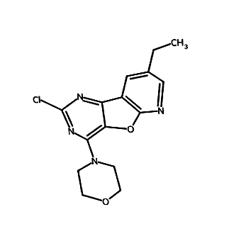 CCc1cnc2oc3c(N4CCOCC4)nc(Cl)nc3c2c1